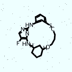 Fc1cnc2nc1N[C@@H]1CCC[C@H](C1)OCCCCSc1cccc(c1)N2